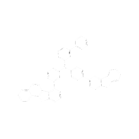 c1ccc(-c2cccc(N(c3ccc(-c4ccc5oc6ccccc6c5c4)cc3)c3cccc(-c4cccc5oc6c7ccccc7ccc6c45)c3)c2)cc1